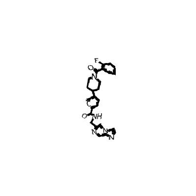 O=C(NCc1cn2ccnc2cn1)c1ccc(C2CCN(C(=O)c3ccccc3F)CC2)cc1